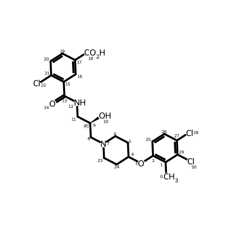 Cc1c(OC2CCN(C[C@H](O)CNC(=O)c3cc(C(=O)O)ccc3Cl)CC2)ccc(Cl)c1Cl